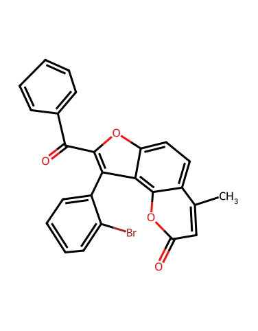 Cc1cc(=O)oc2c1ccc1oc(C(=O)c3ccccc3)c(-c3ccccc3Br)c12